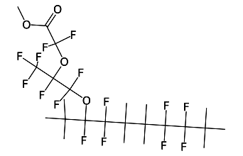 COC(=O)C(F)(F)OC(F)(C(F)(F)F)C(F)(F)OC(F)(C(C)(C)C)C(F)(F)C(C)(C)C(C)(C)C(F)(F)C(F)(F)C(C)(C)C